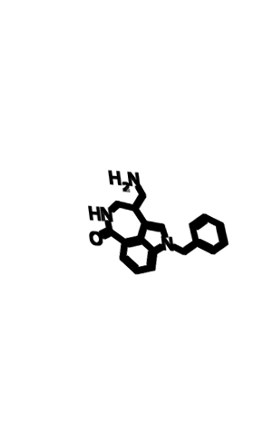 NCC1CNC(=O)c2cccc3c2c1cn3Cc1ccccc1